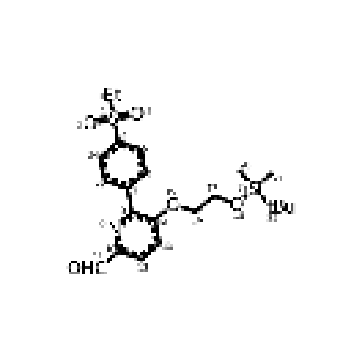 CCS(=O)(=O)c1ccc(-c2nc(C=O)ccc2OCCO[Si](C)(C)C(C)(C)C)cc1